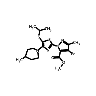 COC(=O)c1c(Br)c(C)nn1-c1nc(N2CCC(C)CC2)c(SC(C)C)s1